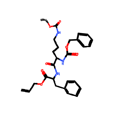 C=CCOC(=O)C(Cc1ccccc1)NC(=O)C(CCCNC(=O)OC(C)(C)C)NC(=O)OCc1ccccc1